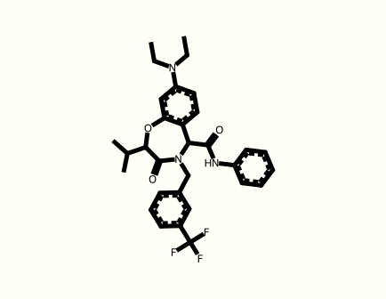 CCN(CC)c1ccc2c(c1)OC(C(C)C)C(=O)N(Cc1cccc(C(F)(F)F)c1)C2C(=O)Nc1ccccc1